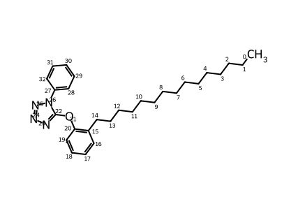 CCCCCCCCCCCCCCCc1ccc[c]c1Oc1nnnn1-c1ccccc1